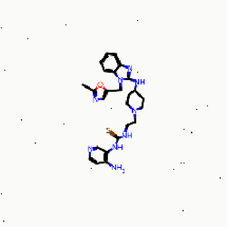 Cc1ncc(Cn2c(NC3CCN(CCNC(=S)Nc4cnccc4N)CC3)nc3ccccc32)o1